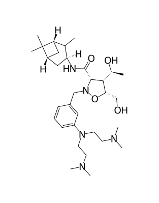 CC1[C@@H](NC(=O)[C@@H]2[C@H]([C@H](C)O)[C@H](CO)ON2Cc2cccc(N(CCN(C)C)CCN(C)C)c2)C[C@H]2C[C@@H]1C2(C)C